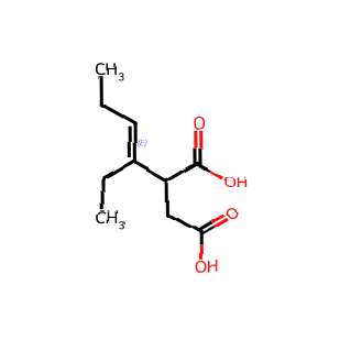 CC/C=C(\CC)C(CC(=O)O)C(=O)O